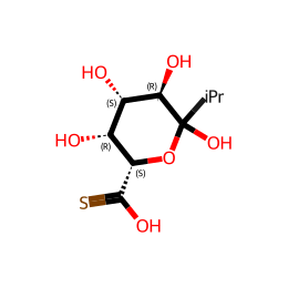 CC(C)C1(O)O[C@H](C(O)=S)[C@H](O)[C@H](O)[C@H]1O